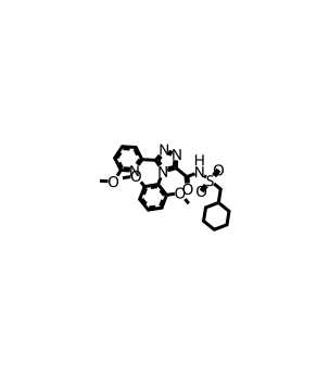 COc1cccc(-c2nnc(C(=O)NS(=O)(=O)CC3CCCCC3)n2-c2c(OC)cccc2OC)n1